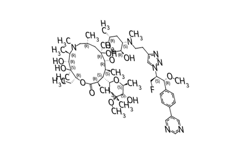 CC[C@H]1OC(=O)[C@H](C)[C@@H](C2C[C@@](C)(OC)[C@@H](O)[C@H](C)O2)[C@H](C)[C@@H](O[C@@H]2O[C@H](C)C[C@H](N(C)CCc3cn([C@H](CF)[C@H](OC)c4ccc(-c5cncnc5)cc4)nn3)[C@H]2O)[C@](C)(O)C[C@@H](C)CN(C)[C@H](C)[C@@H](O)[C@]1(C)O